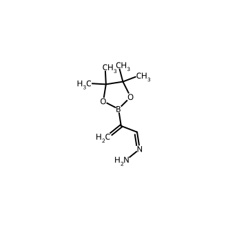 C=C(/C=N\N)B1OC(C)(C)C(C)(C)O1